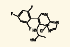 CC(NC1=C(c2c(F)cc(F)cc2F)C=NC2=NC=N[N+]21Cl)C(C)(C)C